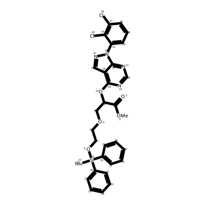 COC(=O)C(COCCO[Si](c1ccccc1)(c1ccccc1)C(C)(C)C)Oc1ncnc2c1cnn2-c1cccc(Cl)c1Cl